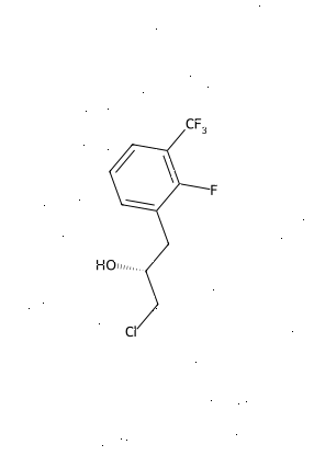 O[C@@H](CCl)Cc1cccc(C(F)(F)F)c1F